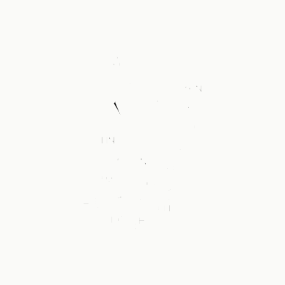 CC1(C)OC(N[C@@H](CCO)c2cccc(C#N)c2)=NS(=O)(=O)C1(C)C